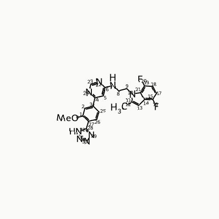 COc1cc(-c2cc(NCCn3c(C)cc4c(F)ccc(F)c43)ncn2)ccc1-c1nnn[nH]1